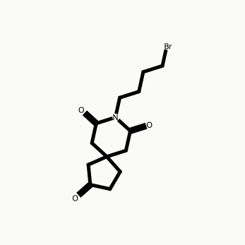 O=C1CCC2(C1)CC(=O)N(CCCCBr)C(=O)C2